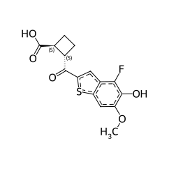 COc1cc2sc(C(=O)[C@H]3CC[C@@H]3C(=O)O)cc2c(F)c1O